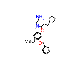 COc1cc(CN(CCN)C(=O)CCC2CCCC2)ccc1OCc1ccccc1